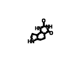 O=c1[nH]c(=O)c2ccc3[nH]ccc3c2[nH]1